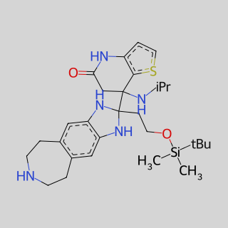 CC(C)NC1(C2(CCO[Si](C)(C)C(C)(C)C)Nc3cc4c(cc3N2)CCNCC4)CC(=O)Nc2ccsc21